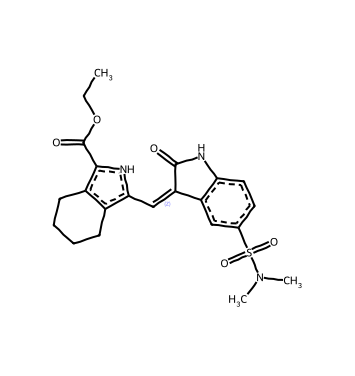 CCOC(=O)c1[nH]c(/C=C2\C(=O)Nc3ccc(S(=O)(=O)N(C)C)cc32)c2c1CCCC2